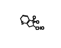 O=CC1CC2=C(C=CCS2)S1(=O)=O